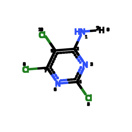 [2H]Nc1nc(Cl)nc(Cl)c1Cl